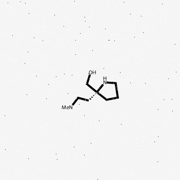 CNCC[C@@]1(CO)CCCN1